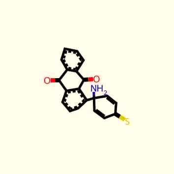 NC1(c2cccc3c2C(=O)c2ccccc2C3=O)C=CC(=S)C=C1